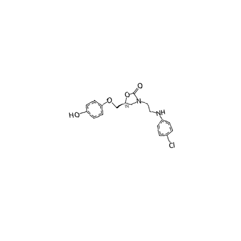 O=C1O[C@H](COc2ccc(O)cc2)CN1CCNc1ccc(Cl)cc1